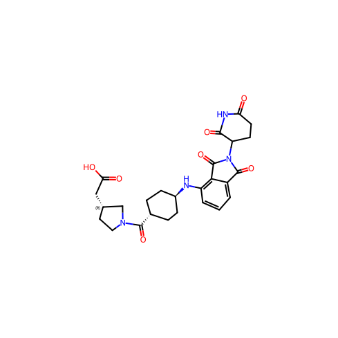 O=C(O)C[C@H]1CCN(C(=O)[C@H]2CC[C@H](Nc3cccc4c3C(=O)N(C3CCC(=O)NC3=O)C4=O)CC2)C1